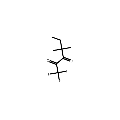 CCC(C)(C)C(=O)C(=O)C(F)(F)F